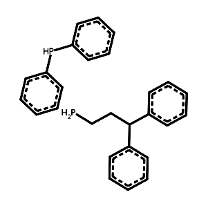 PCCC(c1ccccc1)c1ccccc1.c1ccc(Pc2ccccc2)cc1